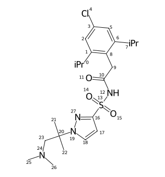 CC(C)c1cc(Cl)cc(C(C)C)c1CC(=O)NS(=O)(=O)c1ccn(C(C)(C)CN(C)C)n1